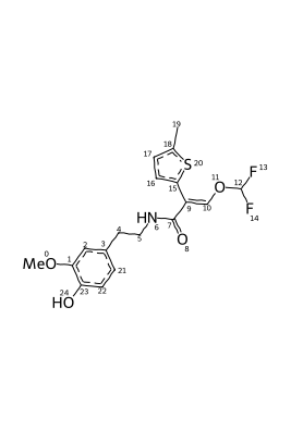 COc1cc(CCNC(=O)/C(=C/OC(F)F)c2ccc(C)s2)ccc1O